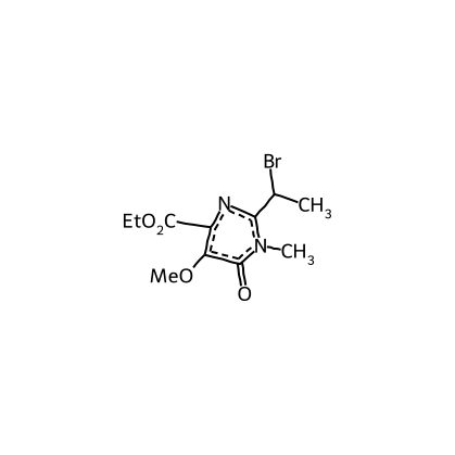 CCOC(=O)c1nc(C(C)Br)n(C)c(=O)c1OC